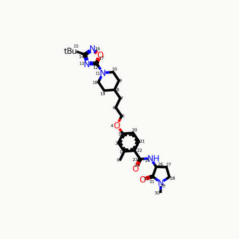 Cc1cc(OCCCC2CCN(c3nc(C(C)(C)C)no3)CC2)ccc1C(=O)NC1CCN(C)C1=O